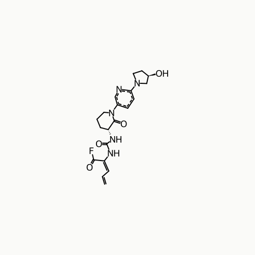 C=C/C=C(/NC(=O)N[C@@H]1CCCN(c2ccc(N3CC[C@@H](O)C3)nc2)C1=O)C(=O)F